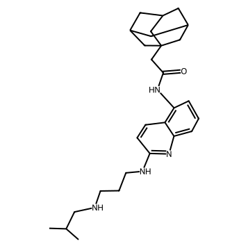 CC(C)CNCCCNc1ccc2c(NC(=O)CC34CC5CC(CC(C5)C3)C4)cccc2n1